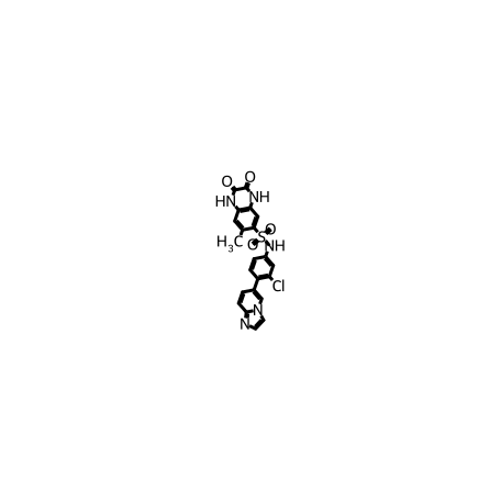 Cc1cc2[nH]c(=O)c(=O)[nH]c2cc1S(=O)(=O)Nc1ccc(-c2ccc3nccn3c2)c(Cl)c1